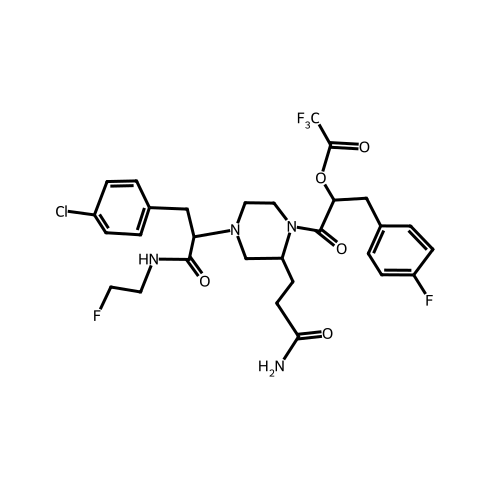 NC(=O)CCC1CN(C(Cc2ccc(Cl)cc2)C(=O)NCCF)CCN1C(=O)C(Cc1ccc(F)cc1)OC(=O)C(F)(F)F